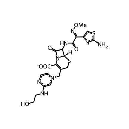 CON=C(C(=O)NC1C(=O)N2C(C(=O)[O-])=C(C[n+]3ccnc(NCCO)c3)CS[C@@H]12)c1csc(N)n1